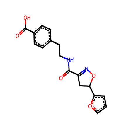 O=C(NCCc1ccc(C(=O)O)cc1)C1=NOC(c2ccco2)C1